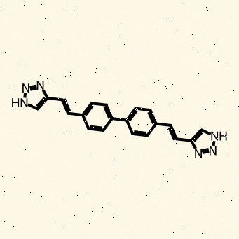 C(=Cc1c[nH]nn1)c1ccc(-c2ccc(C=Cc3c[nH]nn3)cc2)cc1